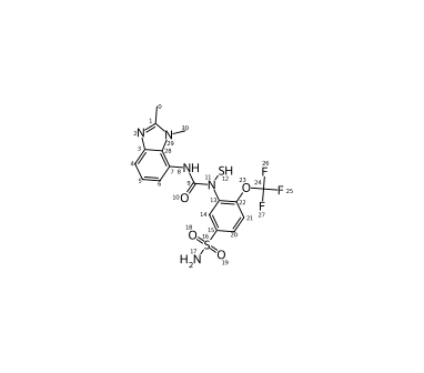 Cc1nc2cccc(NC(=O)N(S)c3cc(S(N)(=O)=O)ccc3OC(F)(F)F)c2n1C